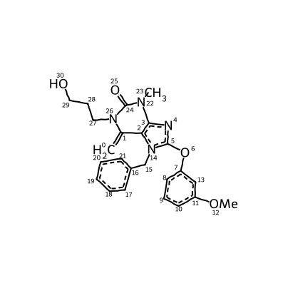 C=C1c2c(nc(Oc3cccc(OC)c3)n2Cc2ccccc2)N(C)C(=O)N1CCCO